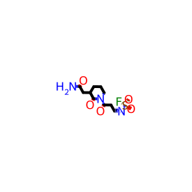 NC(=O)CC1CCCN(C(=O)C/C=N\S(=O)(=O)F)C1=O